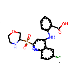 O=C(O)c1ccccc1Nc1cc(S(=O)(=O)C2COCCN2)nc2ccc(F)cc12